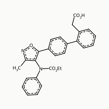 CCOC(=O)N(c1ccccc1)c1c(C)noc1-c1ccc(-c2ccccc2CC(=O)O)cc1